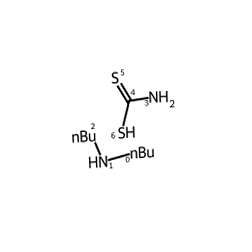 CCCCNCCCC.NC(=S)S